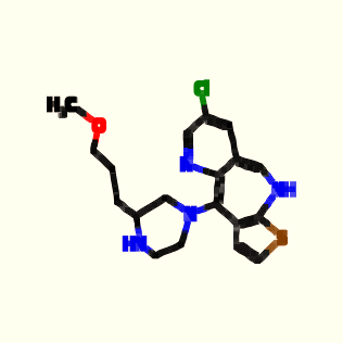 COCCCC1CN(C2=c3ncc(Cl)cc3=CNc3sccc32)CCN1